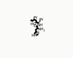 C=CC(C[C@H](O)[C@H](CC(C)C)NC(=O)[C@@H](N)Cc1c[nH]cn1)C(C)C